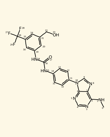 CNc1ncnc2c1ncn2-c1ccc(NC(=O)Nc2cc(CO)cc(C(F)(F)F)c2)cc1